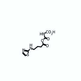 O=C(O)NC(=O)OC(=O)CCCNc1nccs1